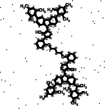 Cc1cc(C)c(-c2ccc3c(c2)c2cc(-c4c(C)cc(C)cc4P)ccc2n3-c2scc(-c3ccccc3OCCCCOc3ccccc3-c3csc(-n4c5ccc(-c6c(C)cc(P)cc6C)cc5c5cc(C(C)c6c(P)cc(C)cc6P)ccc54)c3O)c2O)c(P)c1